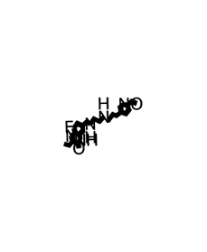 CCc1nc2c(F)cc(CNCCNCCCc3ccc(C=O)nc3)cc2[nH]c1=O